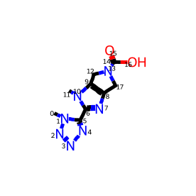 Cn1nnnc1-c1nc2c(n1C)CN(C(=O)O)C2